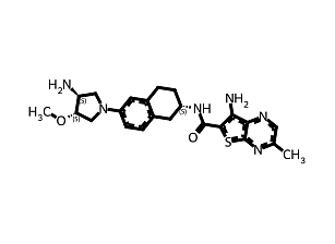 CO[C@H]1CN(c2ccc3c(c2)CC[C@H](NC(=O)c2sc4nc(C)cnc4c2N)C3)C[C@@H]1N